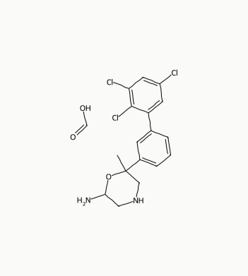 CC1(c2cccc(-c3cc(Cl)cc(Cl)c3Cl)c2)CNCC(N)O1.O=CO